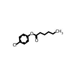 CCCCCC(=O)Oc1ccc(Cl)cc1